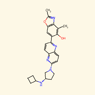 Cc1nc2c(C)c(O)c(-c3ccc4nc(N5CC[C@@H](NC6CCC6)C5)ccc4n3)cc2o1